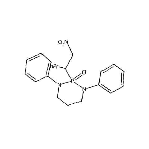 CCCC(C[N+](=O)[O-])P1(=O)N(c2ccccc2)CCCN1c1ccccc1